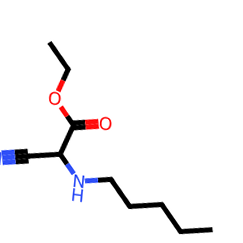 CCCCCNC(C#N)C(=O)OCC